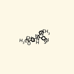 CN(C)C(=O)c1ccc(-c2nc(-c3ccn(C)n3)c(-c3ccc4ncsc4c3)[nH]2)cc1